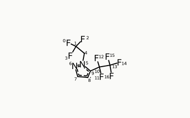 FC(F)(F)Cn1nc[c]c1C(F)(F)C(F)(F)F